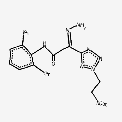 CCCCCCCCCCCCn1nnc(C(=NN)C(=O)Nc2c(C(C)C)cccc2C(C)C)n1